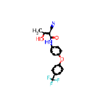 CC(O)=C(C#N)C(=O)Nc1ccc(Oc2ccc(C(F)(F)F)cc2)cc1